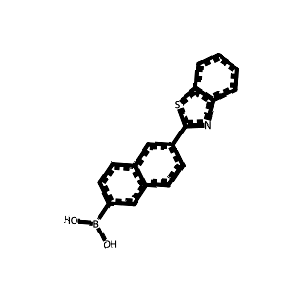 OB(O)c1ccc2cc(-c3nc4ccccc4s3)ccc2c1